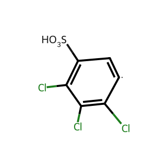 O=S(=O)(O)c1c[c]c(Cl)c(Cl)c1Cl